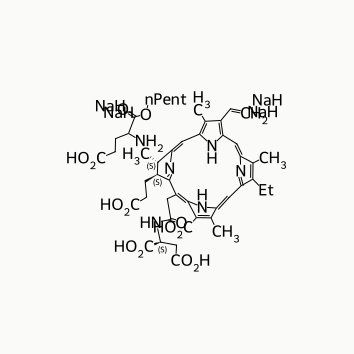 C=Cc1c(C)c2cc3nc(c(CC(=O)N[C@@H](CC(=O)O)C(=O)O)c4[nH]c(cc5nc(cc1[nH]2)C(C)=C5CC)c(C)c4C(=O)O)[C@@H](CCC(=O)O)[C@@H]3C.CCCCCOC(=O)C(N)CCC(=O)O.[NaH].[NaH].[NaH].[NaH]